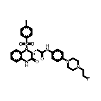 Cc1ccc(S(=O)(=O)N2c3ccccc3NC(=O)[C@H]2CC(=O)Nc2ccc(N3CCN(CCF)CC3)cc2)cc1